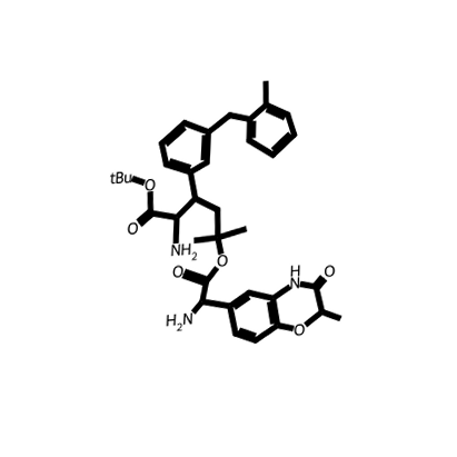 Cc1ccccc1Cc1cccc(C(CC(C)(C)OC(=O)C(N)c2ccc3c(c2)NC(=O)C(C)O3)C(N)C(=O)OC(C)(C)C)c1